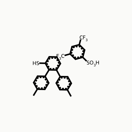 Cc1ccc(-c2cccc(S)c2-c2ccc(C)cc2)cc1.O=S(=O)(O)c1cc(C(F)(F)F)cc(C(F)(F)F)c1